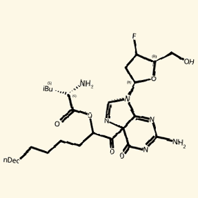 CCCCCCCCCCCCCCC(OC(=O)[C@@H](N)[C@@H](C)CC)C(=O)C12N=CN([C@H]3CC(F)[C@@H](CO)O3)C1=NC(N)=NC2=O